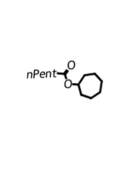 CCCCCC(=O)OC1CCCCCC1